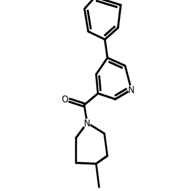 CC1CCN(C(=O)c2cncc(-c3ccccc3)c2)CC1